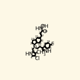 Cc1c(Cl)c[nH]c1CN(CCc1c[nH]c2cc(F)ccc12)C1CCc2cc(/C=C/C(=O)NO)ccc21